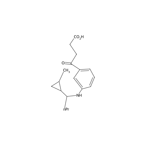 CCCC(Nc1cccc(C(=O)CCC(=O)O)c1)C1CC1C